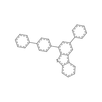 c1ccc(-c2ccc(-c3cc(-c4ccccc4)cc4c3sc3ccccc34)cc2)cc1